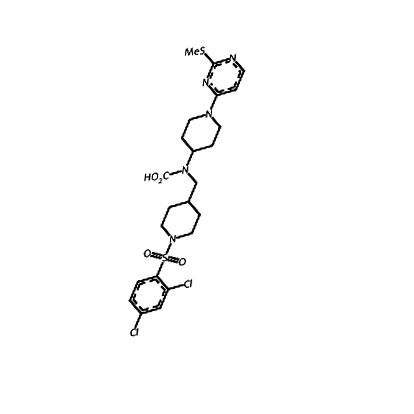 CSc1nccc(N2CCC(N(CC3CCN(S(=O)(=O)c4ccc(Cl)cc4Cl)CC3)C(=O)O)CC2)n1